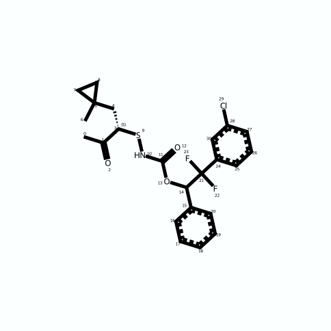 CC(=O)[C@H](CC1(C)CC1)SNC(=O)OC(c1ccccc1)C(F)(F)c1cccc(Cl)c1